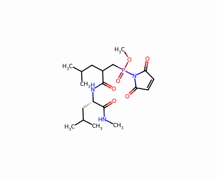 CNC(=O)[C@H](CC(C)C)NC(=O)C(CC(C)C)CP(=O)(OC)N1C(=O)C=CC1=O